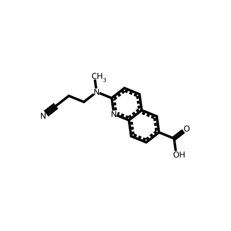 CN(CCC#N)c1ccc2cc(C(=O)O)ccc2n1